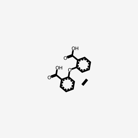 C=C.O=C(O)c1ccccc1Oc1ccccc1C(=O)O